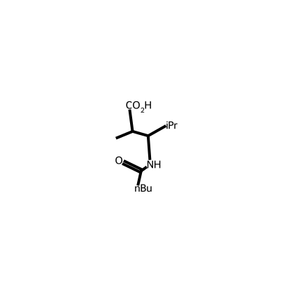 CCCCC(=O)NC(C(C)C)C(C)C(=O)O